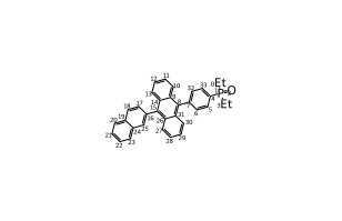 CCP(=O)(CC)c1ccc(-c2c3ccccc3c(-c3ccc4ccccc4c3)c3ccccc23)cc1